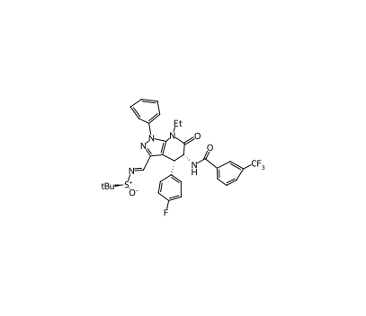 CCN1C(=O)[C@H](NC(=O)c2cccc(C(F)(F)F)c2)[C@H](c2ccc(F)cc2)c2c(/C=N/[S@@+]([O-])C(C)(C)C)nn(-c3ccccc3)c21